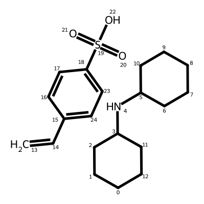 C1CCC(NC2CCCCC2)CC1.C=Cc1ccc(S(=O)(=O)O)cc1